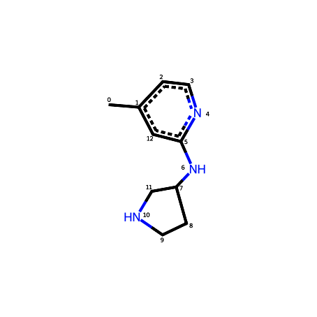 Cc1ccnc(NC2CCNC2)c1